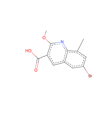 COc1nc2c(C)cc(Br)cc2cc1C(=O)O